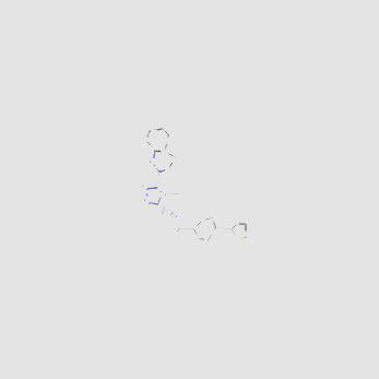 C[C@H]1c2nnc(-c3ccc4ccccc4n3)n2CCN1C(=O)c1ccc(-c2cccs2)cc1